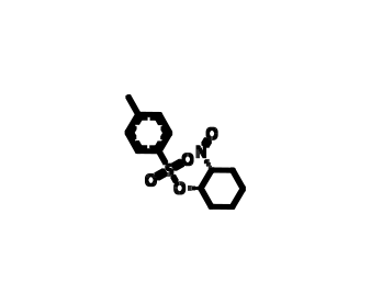 Cc1ccc(S(=O)(=O)O[C@H]2CCCC[C@H]2N=O)cc1